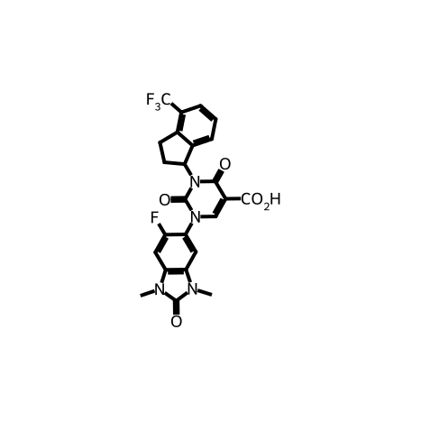 Cn1c(=O)n(C)c2cc(-n3cc(C(=O)O)c(=O)n(C4CCc5c4cccc5C(F)(F)F)c3=O)c(F)cc21